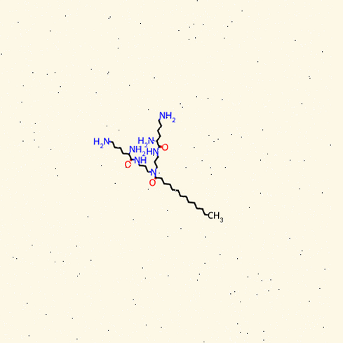 CCCCCCCCCCCCCC(=O)N(CCCNC(=O)[C@H](N)CCCCN)CCCNC(=O)[C@H](N)CCCCN